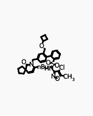 CCCCC1=C=CC2(CCCC2)C(=O)N1Cc1ccc(-c2ccccc2S(=O)(=O)Nc2noc(C)c2Cl)c(COC2CCC2)c1